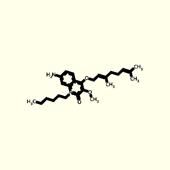 CCCCCCn1c(=O)c(OC)c(OC/C=C(\C)CCC=C(C)C)c2ccc(N)cc21